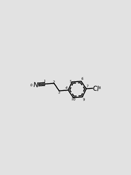 N#CCCc1ccc(Cl)cc1